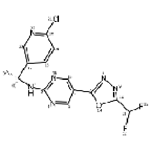 C[C@@H](Nc1ncc(-c2nnc(C(F)F)o2)cn1)c1ccc(Cl)nc1